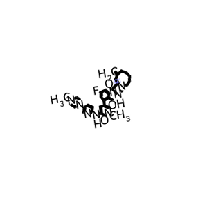 C=C1/C=C2/C(=O)N(c3cc(F)cc(-c4cc(Nc5ccc(N6CCN(C)CC6)cn5)c(=O)n(C)c4)c3CO)N=CN2CCCCC1